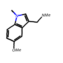 CNCc1cn(C)c2ccc(OC)cc12